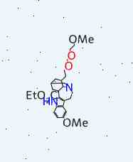 CCOC(=O)C12CC3CC(CCOCOCCOC)C1N(CCc1c2[nH]c2ccc(OC)cc12)C3